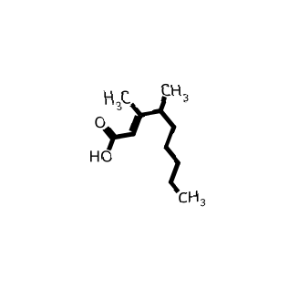 CCCCCC(C)C(C)=CC(=O)O